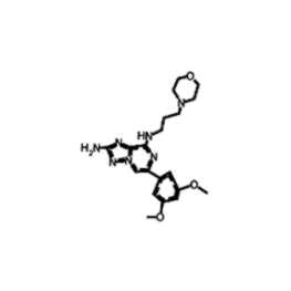 COc1cc(OC)cc(-c2cn3nc(N)nc3c(NCCCN3CCOCC3)n2)c1